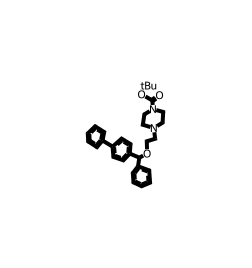 CC(C)(C)OC(=O)N1CCN(CCOC(c2ccccc2)c2ccc(-c3ccccc3)cc2)CC1